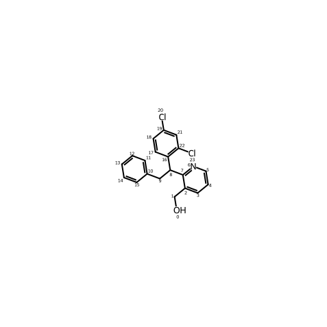 OCc1cccnc1C(Cc1ccccc1)c1ccc(Cl)cc1Cl